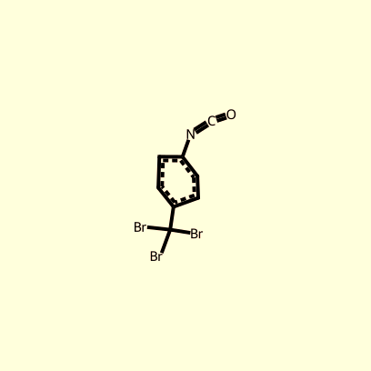 O=C=Nc1ccc(C(Br)(Br)Br)cc1